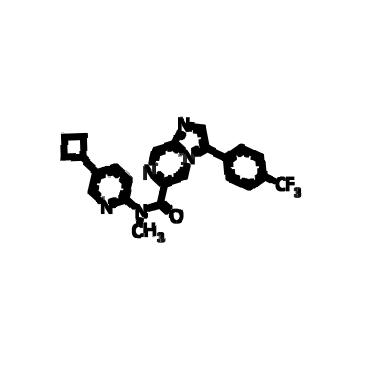 CN(C(=O)c1cn2c(-c3ccc(C(F)(F)F)cc3)cnc2cn1)c1ccc(C2CCC2)cn1